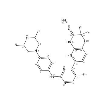 CC1CN(c2ccc(Nc3ncc(F)c(-c4ccc5c(n4)NC(=O)C(C)(C)O5)n3)cc2)CC(C)O1.N